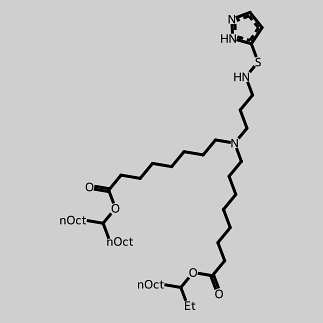 CCCCCCCCC(CC)OC(=O)CCCCCCCN(CCCCCCCC(=O)OC(CCCCCCCC)CCCCCCCC)CCCNSc1ccn[nH]1